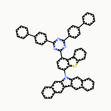 c1ccc(-c2ccc(-c3nc(-c4ccc(-c5ccccc5)cc4)nc(-c4ccc(-n5c6cc7ccccc7cc6c6cc7ccccc7cc65)c5sc6ccccc6c45)n3)cc2)cc1